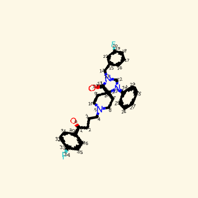 O=C(CCCN1CCC2(CC1)C(=O)N(Cc1cccc(F)c1)CN2c1ccccc1)c1ccc(F)cc1